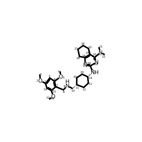 COc1cc(OC)c(CNC[C@H]2CC[C@@H](Nc3nc4c(c(N(C)C)n3)CCCC4)CC2)c(OC)c1